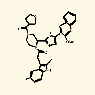 COc1nc2ccccc2cc1-c1cnc(C2CN(C(=O)C3CCOC3)CCN2C(=O)Cc2c(C)[nH]c3ccc(F)cc23)[nH]1